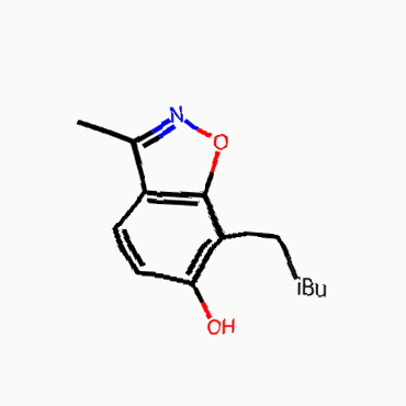 CCC(C)Cc1c(O)ccc2c(C)noc12